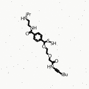 CCC(C)C#CNC(=O)COCCOC(SS)c1ccc(C(=O)NCCNC(C)C)cc1